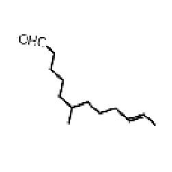 CC=CCCCC(C)CCCC[C]=O